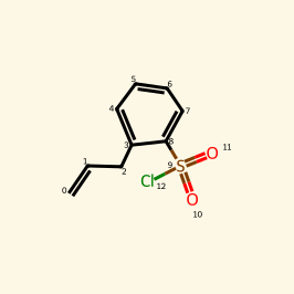 C=CCc1ccccc1S(=O)(=O)Cl